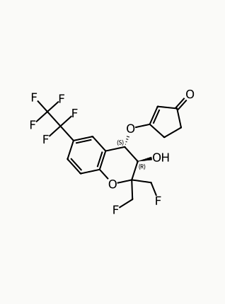 O=C1C=C(O[C@H]2c3cc(C(F)(F)C(F)(F)F)ccc3OC(CF)(CF)[C@@H]2O)CC1